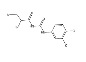 O=C(NC(=O)C(Br)CBr)Nc1ccc(Cl)c(Cl)c1